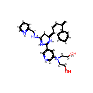 C=C(/C=C\C=C1/CC(NCc2ccccn2)=NC(c2cncc(N(CCO)CCO)c2)=N1)c1ccccc1